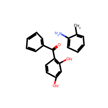 Cc1ccccc1N.O=C(c1ccccc1)c1ccc(O)cc1O